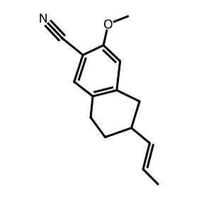 CC=CC1CCc2cc(C#N)c(OC)cc2C1